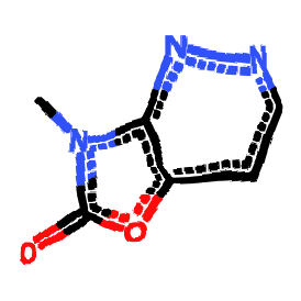 Cn1c(=O)oc2ccnnc21